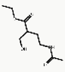 CCOC(=O)C([CH]CNC(C)=O)CO